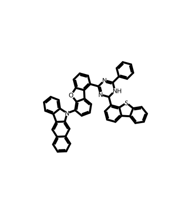 c1ccc(C2=NC(c3cccc4oc5c(-n6c7ccccc7c7cc8ccccc8cc76)cccc5c34)=NC(c3cccc4c3sc3ccccc34)N2)cc1